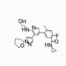 Cc1cc(F)c(C(=O)NC2CC2)cc1-c1cnc(NCCO)c(-c2cnn(C3CCCCO3)c2)c1